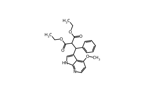 CCOC(=O)C(C(=O)OCC)C(c1ccccc1)c1c[nH]c2nccc(OC)c12